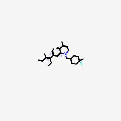 C=C1C(C)=CCN(CC2CCC(C)(F)CC2)/C1=C/C(=C\C)C(/CC)=C(\C)CC